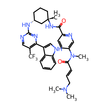 CN(C)C/C=C/C(=O)N(C)c1ccc(C(=O)N[C@@]2(C)CCC[C@@H](Nc3ncc(C(F)(F)F)c(-c4c[nH]c5ccccc45)n3)C2)nc1